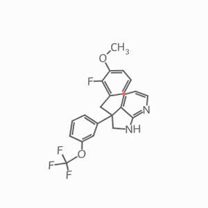 COc1cccc(CC2(c3cccc(OC(F)(F)F)c3)CNc3ncccc32)c1F